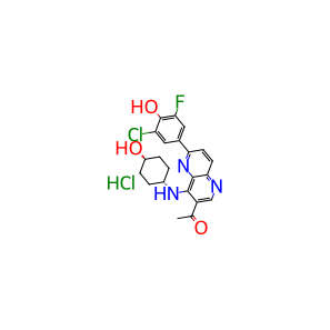 CC(=O)c1cnc2ccc(-c3cc(F)c(O)c(Cl)c3)nc2c1N[C@H]1CC[C@H](O)CC1.Cl